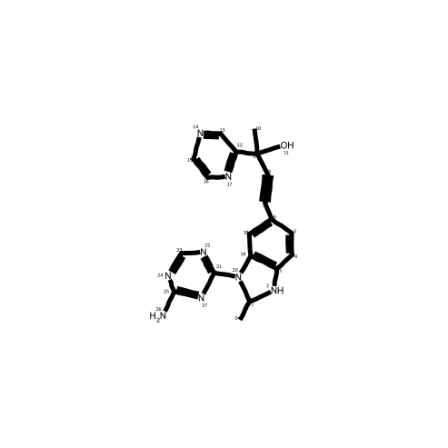 CC1Nc2ccc(C#CC(C)(O)c3cnccn3)cc2N1c1ncnc(N)n1